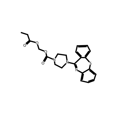 CCC(=O)OCOC(=O)N1CCN(C2=Nc3ccccc3Sc3ccccc32)CC1